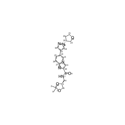 CC1(C)OC[C@H](CNC(=O)c2cn3cc(-c4cnn([C@@H]5CCOC5)c4)ccc3n2)O1